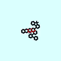 CC1(C)c2ccccc2-c2c(-c3ccc(N(c4ccc5ccccc5c4)c4cccc(-c5ccccc5)c4-c4ccccc4-c4ccccc4)cc3)cccc21